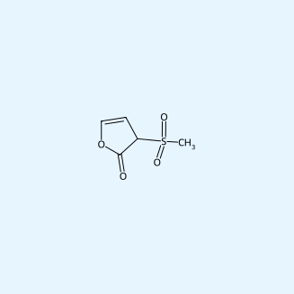 CS(=O)(=O)C1C=COC1=O